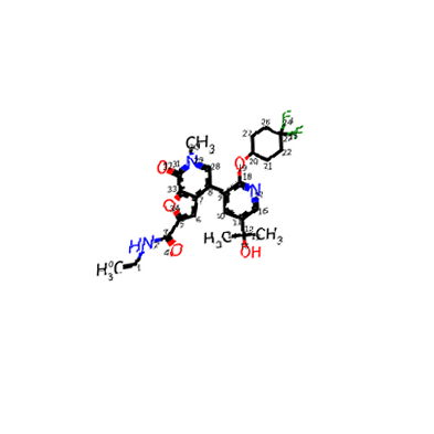 CCNC(=O)c1cc2c(-c3cc(C(C)(C)O)cnc3OC3CCC(F)(F)CC3)cn(C)c(=O)c2o1